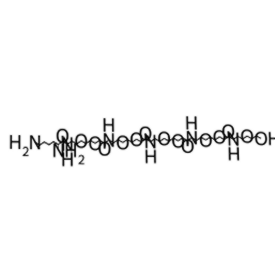 NCCCC[C@H](N)C(=O)NCCOCCOCC(=O)NCCOCCOCC(=O)NCCOCCOCC(=O)NCCOCCOCC(=O)NCCOCCO